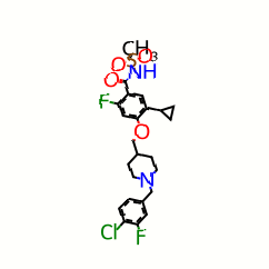 CS(=O)(=O)NC(=O)c1cc(C2CC2)c(OCC2CCN(Cc3ccc(Cl)c(F)c3)CC2)cc1F